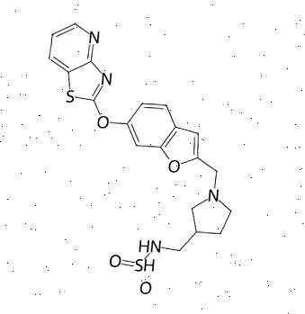 O=[SH](=O)NCC1CCN(Cc2cc3ccc(Oc4nc5ncccc5s4)cc3o2)C1